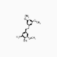 COc1cc(CCc2cc(C)c(O)c(OC)c2)cc(OC)c1